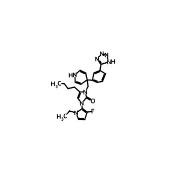 CCCCc1cn(-c2c(F)ccn2CC)c(=O)n1CC1(c2cccc(-c3nnn[nH]3)c2)C=CNC=C1